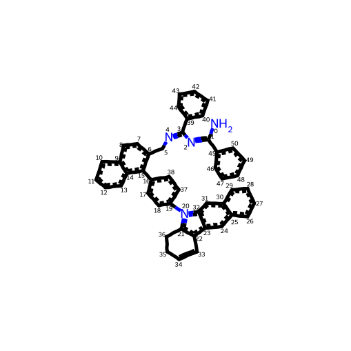 N/C(=N\C(=N/Cc1ccc2ccccc2c1-c1ccc(-n2c3c(c4cc5ccccc5cc42)C=CCC3)cc1)c1ccccc1)c1ccccc1